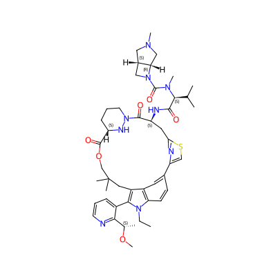 CCn1c(-c2cccnc2[C@H](C)OC)c2c3cc(ccc31)-c1csc(n1)C[C@H](NC(=O)[C@H](C(C)C)N(C)C(=O)N1C[C@@H]3CN(C)C[C@@H]31)C(=O)N1CCC[C@H](N1)C(=O)OCC(C)(C)C2